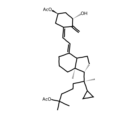 C=C1/C(=C\C=C2CCC[C@@]3(C)C2CC[C@@H]3[C@](C)(CCCC(C)(C)OC(C)=O)C2CC2)C[C@@H](OC(C)=O)C[C@@H]1O